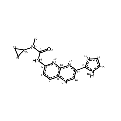 CN(C(=O)Nc1ccc2ncc(-c3ncc[nH]3)nc2n1)C1CC1